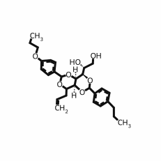 C=CCC1OC(c2ccc(OCCC)cc2)O[C@H]2[C@@H]([C@H](O)CO)OC(c3ccc(CCC)cc3)O[C@@H]12